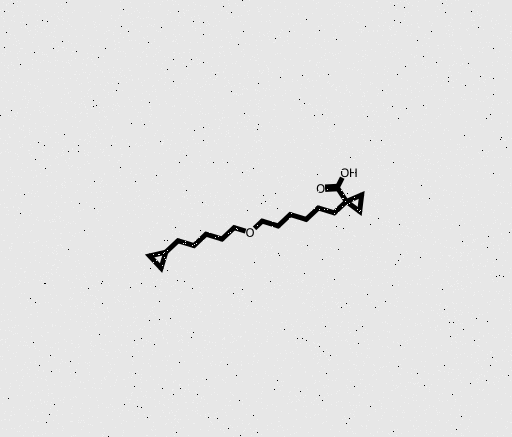 O=C(O)C1(CCCCCCOCCCCCC2CC2)CC1